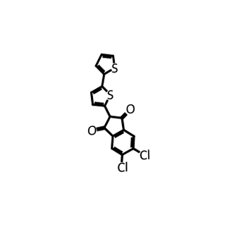 O=C1c2cc(Cl)c(Cl)cc2C(=O)C1c1ccc(-c2cccs2)s1